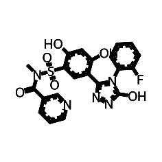 CN(C(=O)c1cccnc1)S(=O)(=O)c1cc(-c2nnc(O)n2-c2ccccc2F)c(O)cc1O